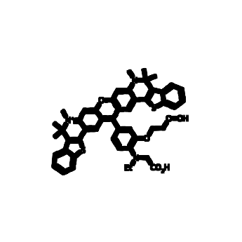 CCN(CC(=O)O)c1ccc(C2=c3cc4c(cc3Oc3cc5c(cc32)-c2sc3ccccc3c2C(C)(C)N5C)=[N+](C)C(C)(C)c2c-4sc3ccccc23)cc1OCCOO